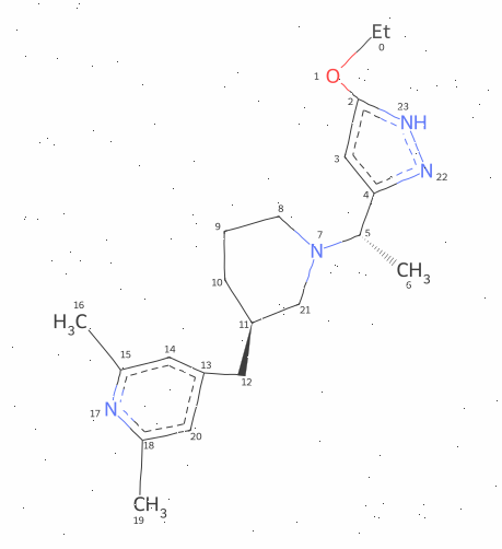 CCOc1cc([C@H](C)N2CCC[C@H](Cc3cc(C)nc(C)c3)C2)n[nH]1